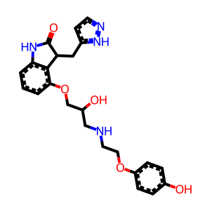 O=C1Nc2cccc(OCC(O)CNCCOc3ccc(O)cc3)c2C1Cc1ccn[nH]1